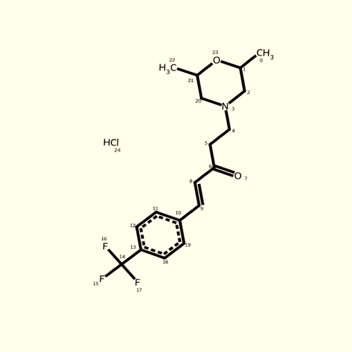 CC1CN(CCC(=O)C=Cc2ccc(C(F)(F)F)cc2)CC(C)O1.Cl